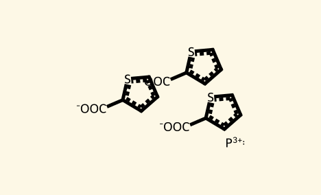 O=C([O-])c1cccs1.O=C([O-])c1cccs1.O=C([O-])c1cccs1.[P+3]